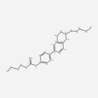 CCCCCC(=O)Oc1ccc(-c2ccc3c(c2)CCC(CCCCC)C3)cc1